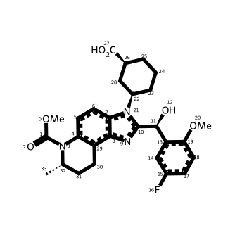 COC(=O)N1c2ccc3c(nc([C@@H](O)c4cc(F)ccc4OC)n3[C@@H]3CCC[C@H](C(=O)O)C3)c2CC[C@@H]1C